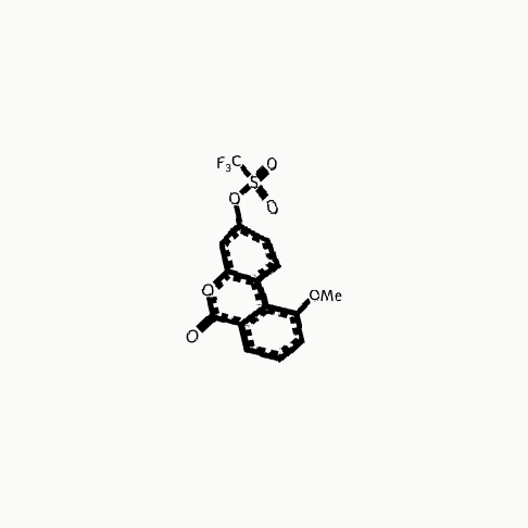 COc1cccc2c(=O)oc3cc(OS(=O)(=O)C(F)(F)F)ccc3c12